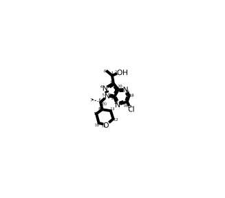 CC(O)c1nn([C@@H](C)C2CCOCC2)c2nc(Cl)cnc12